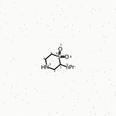 CC[CH]C1CNCCS1(=O)=O